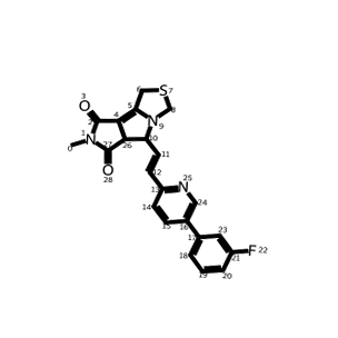 CN1C(=O)C2=C3CSCN3C(C=Cc3ccc(-c4cccc(F)c4)cn3)C2C1=O